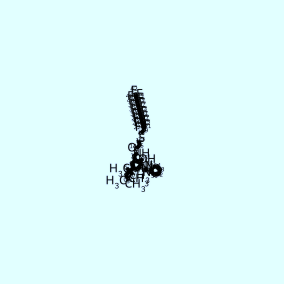 CC(C)(C)CC(C)(C)c1cc(CNC(=O)CCSCCC(F)(F)C(F)(F)C(F)(F)C(F)(F)C(F)(F)C(F)(F)C(F)(F)C(F)(F)F)c(O)c(-n2nc3ccccc3n2)c1